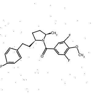 COc1c(F)cc(C(=O)N2[C@@H](CCc3ccc(F)cc3)CC[C@H]2C)cc1F